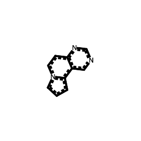 c1cc2c3cncnc3ccn2c1